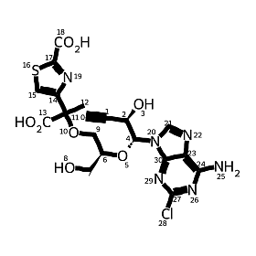 C#C[C@@H](O)[C@@H](O[C@@H](CO)COC(C)(C(=O)O)c1csc(C(=O)O)n1)n1cnc2c(N)nc(Cl)nc21